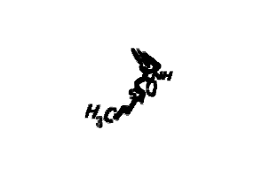 CCCCc1ccc(C=C2C(=O)Nc3ccncc32)s1